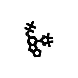 CC1(C)OB(c2cc(O[Si](C)(C)C(C)(C)C)cc3cc4n(c23)CCC4)OC1(C)C